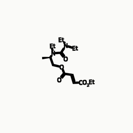 CCOC(=O)/C=C/C(=O)OC[C@@H](C)N(CC)C(=O)N(CC)CC